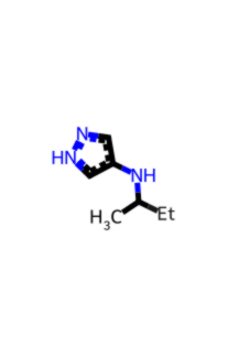 CCC(C)Nc1cn[nH]c1